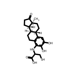 C[C@]12CC[C@@H]3c4cc(O)c(O)c(NC(CS)C(=O)O)c4CC[C@H]3[C@@H]1CCC2=O